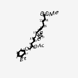 CCc1cccc(OCC(CCCN(CC#CCCCC(=O)OC)S(C)(=O)=O)OC(C)=O)c1